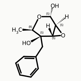 C[C@H]1O[C@H](O)[C@H]2O[C@@H]2[C@]1(O)Cc1ccccc1